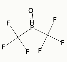 O=[PH](C(F)(F)F)C(F)(F)F